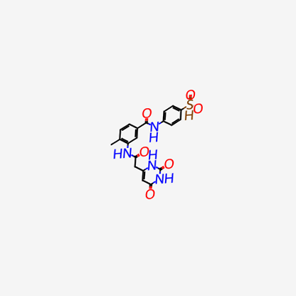 Cc1ccc(C(=O)Nc2ccc([SH](=O)=O)cc2)cc1NC(=O)Cc1cc(=O)[nH]c(=O)[nH]1